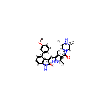 COc1cccc(-c2cccc3c2/C(=C/c2[nH]c(C)c(C(=O)N4C[C@H](C)N[C@@H](C)C4)c2C)C(=O)N3)c1